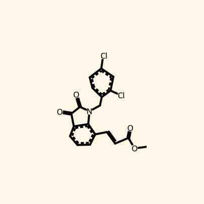 COC(=O)C=Cc1cccc2c1N(Cc1ccc(Cl)cc1Cl)C(=O)C2=O